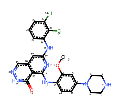 COc1cc(N2CCNCC2)ccc1Nc1nc(Nc2cccc(Cl)c2Cl)cc2cn[nH]c(=O)c12